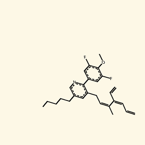 C=C/C=C(C=C)\C(C)=C/Cc1cc(CCCCC)cnc1-c1cc(F)c(OC)c(F)c1